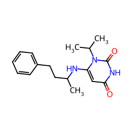 CC(CCc1ccccc1)Nc1cc(=O)[nH]c(=O)n1C(C)C